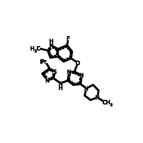 Cc1cc2cc(Oc3nc(Nc4ncc(C(C)C)s4)cc(N4CCN(C)CC4)n3)cc(F)c2[nH]1